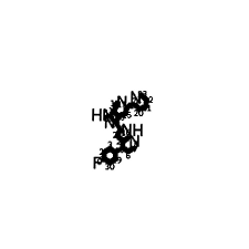 Fc1ccc(-c2ccnc3[nH]c(-c4n[nH]c5cnc(-c6ccccn6)cc45)cc23)cc1